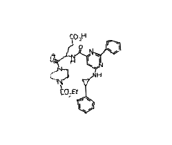 CCOC(=O)N1CCN(C(=O)C(CCC(=O)O)NC(=O)c2cc(NC3CC3c3ccccc3)nc(-c3ccccc3)n2)CC1